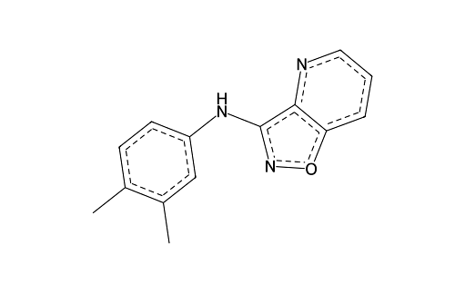 Cc1ccc(Nc2noc3cccnc23)cc1C